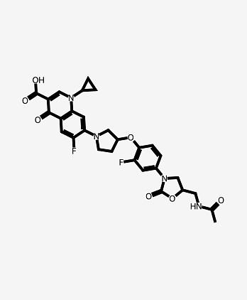 CC(=O)NCC1CN(c2ccc(OC3CCN(c4cc5c(cc4F)c(=O)c(C(=O)O)cn5C4CC4)C3)c(F)c2)C(=O)O1